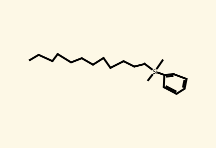 CCCCCCCCCCC[CH][Si](C)(C)c1ccccc1